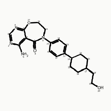 Nc1ncnc2c1C(=O)N(c1ccc(C3CCC(CCO)CC3)cc1)CCO2